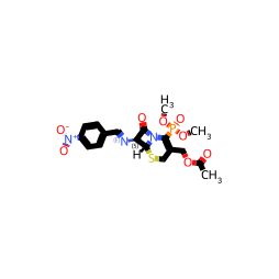 COP(=O)(OC)C1=C(COC(C)=O)CS[C@@H]2[C@@H](/N=C/c3ccc([N+](=O)[O-])cc3)C(=O)N12